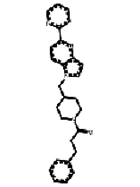 O=C(CCc1ccccc1)N1CCC(Cn2ccc3nc(-c4ccccn4)ccc32)CC1